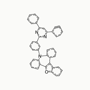 c1cccc(-c2cc(-c3ccccc3)nc(-c3cccc(N4c5ccccc5-c5oc6ccccc6c5-c5ccccc54)c3)n2)c#1